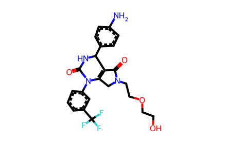 Nc1ccc(C2NC(=O)N(c3cccc(C(F)(F)F)c3)C3=C2C(=O)N(CCOCCO)C3)cc1